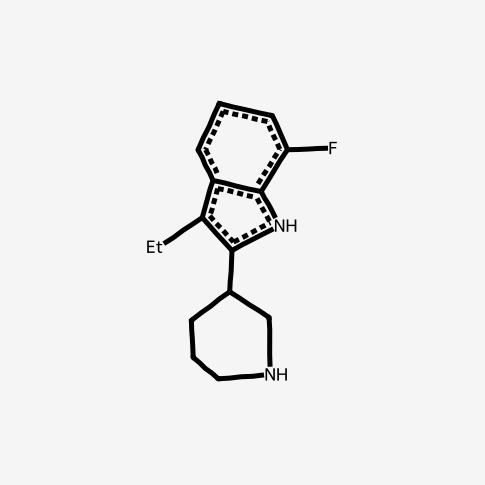 CCc1c(C2CCCNC2)[nH]c2c(F)cccc12